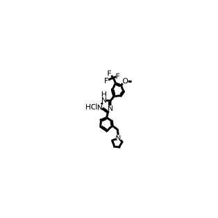 COc1ccc(-c2nc(-c3cccc(CN4CCCC4)c3)n[nH]2)cc1C(F)(F)F.Cl